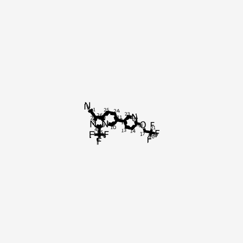 N#Cc1nc(C(F)(F)F)n2cc(-c3ccc(OCC(F)(F)F)nc3)ccc12